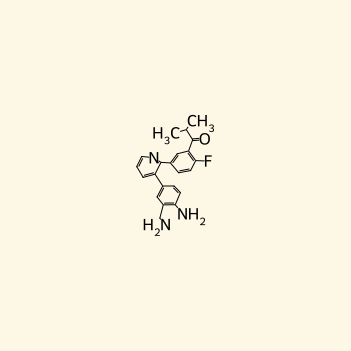 CC(C)C(=O)c1cc(-c2ncccc2-c2ccc(N)c(CN)c2)ccc1F